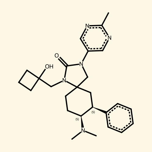 Cc1ncc(N2CC3(CC[C@H](N(C)C)[C@H](c4ccccc4)C3)N(CC3(O)CCC3)C2=O)cn1